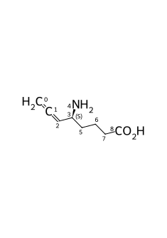 C=C=C[C@@H](N)CCCC(=O)O